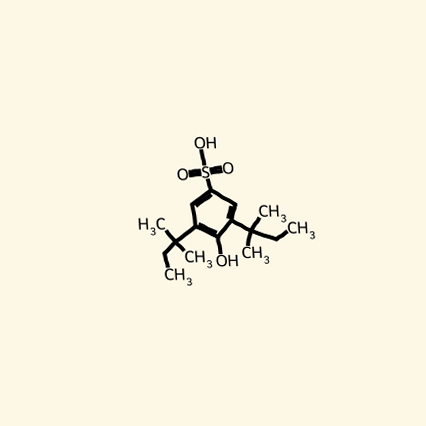 CCC(C)(C)c1cc(S(=O)(=O)O)cc(C(C)(C)CC)c1O